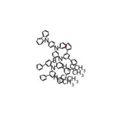 CC(C)(C)c1cc(-c2cc3c4c(c2)N(c2cc(-c5ccccc5)cc(-c5ccccc5)c2)c2cc(N(c5ccccc5)c5ccc(-n6c7ccccc7c7ccccc76)cc5)ccc2B4c2ccc(-c4ccccc4)cc2N3c2cc(-c3ccccc3)cc(-c3ccccc3)c2)cc(C(C)(C)C)c1